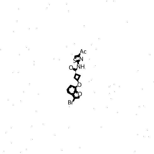 CC(=O)c1csc(NC(=O)[C@H]2C[C@H](Oc3cccc4c(Br)coc34)C2)n1